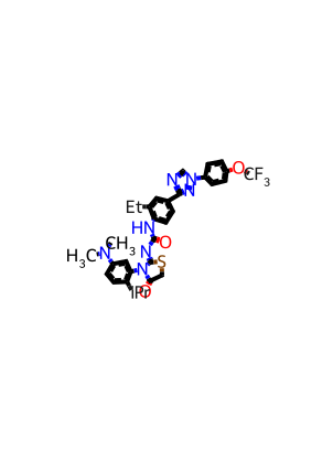 CCc1cc(-c2ncn(-c3ccc(OC(F)(F)F)cc3)n2)ccc1NC(=O)/N=C1\SCC(=O)N1c1cc(N(C)C)ccc1C(C)C